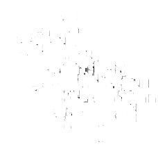 CC(C)[C@H](NC(=O)OCc1ccccc1)C(=O)N[C@@H](C)C(=O)N[C@@H](CC(=O)N[C@@H](CCN(C(=O)CO)[C@@H](c1cc(-c2cc(F)ccc2F)cn1Cc1ccccc1)C(C)(C)C)C(=O)NCCNC(=O)CN1C(=O)C=CC1=O)C(N)=O